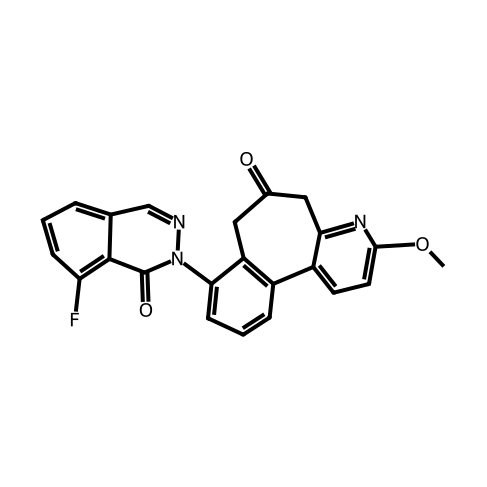 COc1ccc2c(n1)CC(=O)Cc1c-2cccc1-n1ncc2cccc(F)c2c1=O